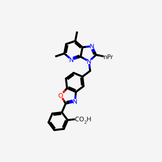 CCCc1nc2c(C)cc(C)nc2n1Cc1ccc2oc(-c3ccccc3C(=O)O)nc2c1